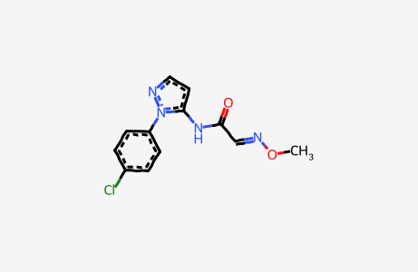 CON=CC(=O)Nc1ccnn1-c1ccc(Cl)cc1